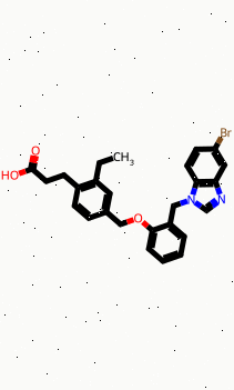 CCc1cc(COc2ccccc2Cn2cnc3cc(Br)ccc32)ccc1CCC(=O)O